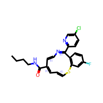 CCCCNC(=O)C1=C/C=C/Sc2cc(F)ccc2/C(c2ccc(Cl)cn2)=N\C=C\1